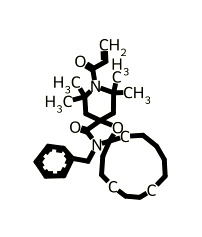 C=CC(=O)N1C(C)(C)CC2(CC1(C)C)OC1(CCCCCCCCCCC1)N(Cc1ccccc1)C2=O